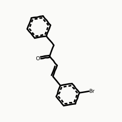 O=C(/C=C/c1cccc(Br)c1)Cc1ccccc1